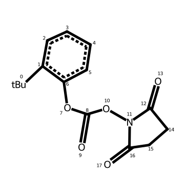 CC(C)(C)c1ccccc1OC(=O)ON1C(=O)CCC1=O